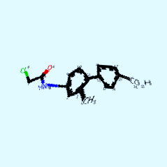 Cc1cc(NC(=O)CCl)ccc1-c1ccc(C(=O)O)cc1